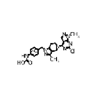 Cc1nn(CC23CCC(NC(=O)O)(CC2)CC3)c2c1CN(c1nc(Cl)nc3c1cnn3C)CC2